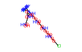 [N-]=[N+]=Nc1cc(CN(CCNC(=O)OCCOCCOCCNC(=O)OC/C=C/COC(=O)NCCOCCOCCOC(=O)NCCOCCOCCCCCCCl)C(=O)c2ccc(NC(=O)CCCCCCC(=O)NO)cc2)cc(F)c1N=[N+]=[N-]